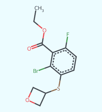 CCOC(=O)c1c(F)ccc(SC2COC2)c1Br